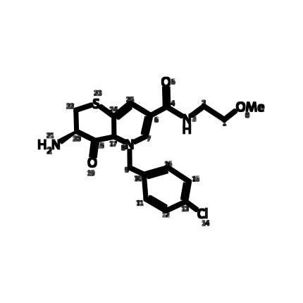 COCCNC(=O)C1=CN(Cc2ccc(Cl)cc2)C2C(=O)[C@@H](N)CSC2=C1